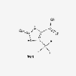 Cl.O=C(O)c1sc(=O)[nH]c1C(F)(F)F